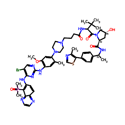 COc1cc(N2CCN(CCCC(=O)NC(C(=O)N3C[C@H](O)C[C@H]3C(=O)N[C@@H](C)c3ccc(-c4scnc4C)cc3)C(C)(C)C)CC2)c(C)cc1Nc1ncc(Br)c(Nc2ccc3nccnc3c2P(C)(C)=O)n1